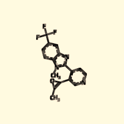 CC1=C(c2cnccc2-c2nc3cc(C(F)(F)F)ccc3n2C)O1